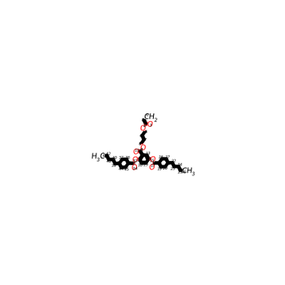 C=CC(=O)OCCCCOC(=O)c1cc(OC(=O)C2CCC(CCCCC)CC2)ccc1OC(=O)C1CCC(CCCCC)CC1